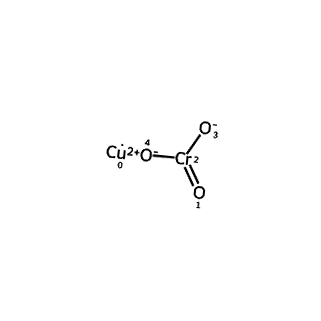 [Cu+2].[O]=[Cr]([O-])[O-]